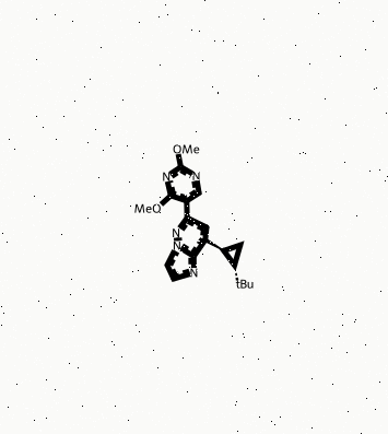 COc1ncc(-c2cc([C@H]3C[C@@H]3C(C)(C)C)c3nccn3n2)c(OC)n1